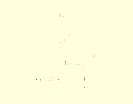 CCC(C)CON1C(=O)CCC1=O